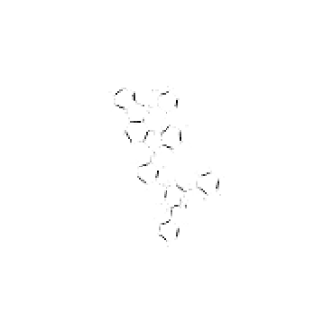 C1=CCC(n2c3ccccc3c3ccc4c(c5ccccc5n4-c4cccc(-c5cc(-c6ccccc6)nc(-c6ccccc6)c5)c4)c32)C=C1